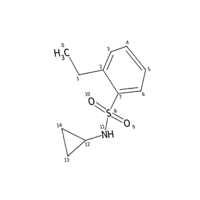 CCc1ccccc1S(=O)(=O)NC1CC1